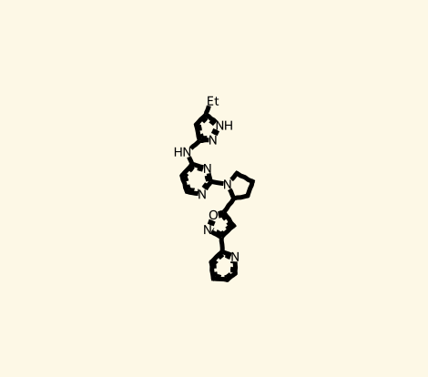 CCc1cc(Nc2ccnc(N3CCCC3c3cc(-c4ccccn4)no3)n2)n[nH]1